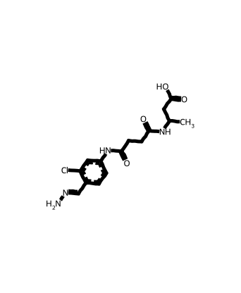 CC(CC(=O)O)NC(=O)CCC(=O)Nc1ccc(C=NN)c(Cl)c1